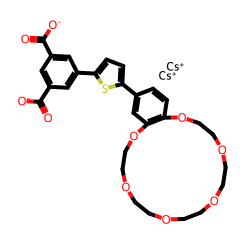 O=C([O-])c1cc(C(=O)[O-])cc(-c2ccc(-c3ccc4c(c3)OCCOCCOCCOCCOCCO4)s2)c1.[Cs+].[Cs+]